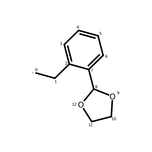 [CH2]Cc1ccccc1C1OCCO1